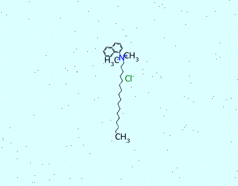 CCCCCCCCCCCCCCCCC[N+](C)(C)c1cccc2ccccc12.[Cl-]